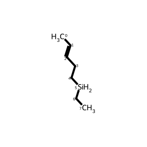 CC=CCC[SiH2]CC